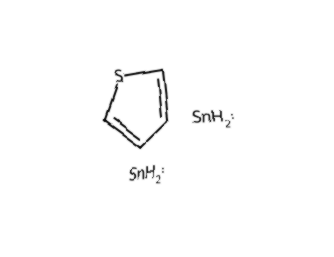 [SnH2].[SnH2].c1ccsc1